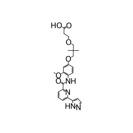 COc1cc(OCC(C)(C)COCCC(=O)O)ccc1NC(=O)c1cccc(-c2ccn[nH]2)n1